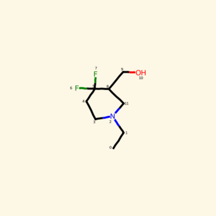 CCN1CCC(F)(F)C(CO)C1